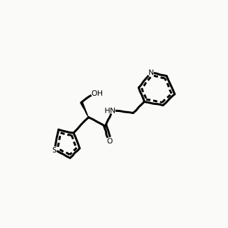 O=C(NCc1cccnc1)[C@H](CO)c1ccsc1